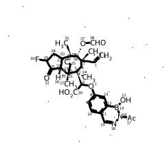 C=C[C@]1(C)C[C@@H](C(Oc2ccc3c(c2)B(O)N(C(C)=O)N=C3)C(=O)O)[C@@]2(C)[C@H](C)CC[C@]3(CC(F)C(=O)[C@H]32)[C@@H](C)[C@@H]1OC=O